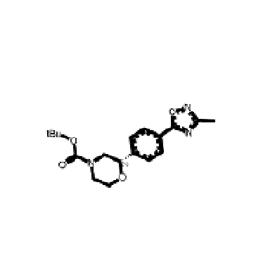 Cc1noc(-c2ccc([C@H]3CN(C(=O)OC(C)(C)C)CCO3)cc2)n1